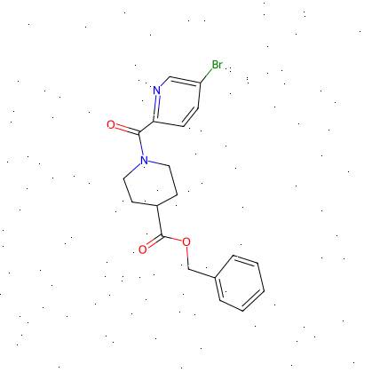 O=C(OCc1ccccc1)C1CCN(C(=O)c2ccc(Br)cn2)CC1